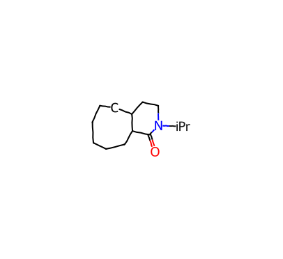 CC(C)N1CCC2CCCCCCC2C1=O